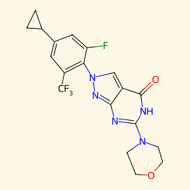 O=c1[nH]c(N2CCOCC2)nc2nn(-c3c(F)cc(C4CC4)cc3C(F)(F)F)cc12